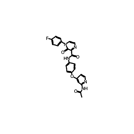 CC(=O)Nc1cc(Oc2ccc(NC(=O)c3nccn(-c4ccc(F)cc4)c3=O)cc2)ccn1